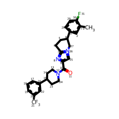 Cc1cc(C2CCc3nc(C(=O)N4CCC(c5cccc(C(F)(F)F)c5)CC4)cn3C2)ccc1F